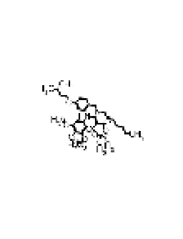 CCCCCCCN(Cc1ccc(OCCC(C)C)cc1)C(Nc1cc(OC)c(OC)c(OC)c1)=C1C(=O)OC(C)(C)OC1=O